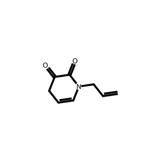 C=CCN1C=CCC(=O)C1=O